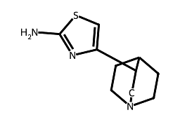 Nc1nc(C2CN3CCC2CC3)cs1